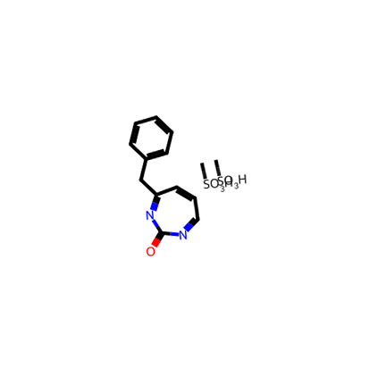 CS(=O)(=O)O.CS(=O)(=O)O.O=c1ncccc(Cc2ccccc2)n1